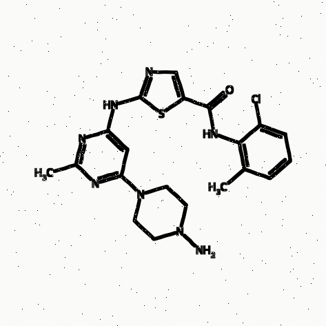 Cc1nc(Nc2ncc(C(=O)Nc3c(C)cccc3Cl)s2)cc(N2CCN(N)CC2)n1